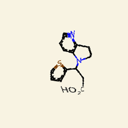 O=C(O)CC(c1cccs1)N1CCc2ncccc21